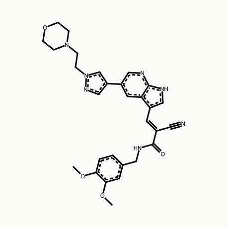 COc1ccc(CNC(=O)/C(C#N)=C/c2c[nH]c3ncc(-c4cnn(CCN5CCOCC5)c4)cc23)cc1OC